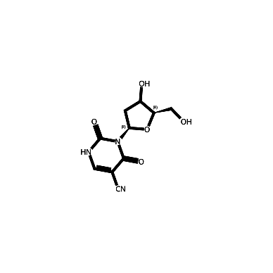 N#Cc1c[nH]c(=O)n([C@H]2CC(O)[C@@H](CO)O2)c1=O